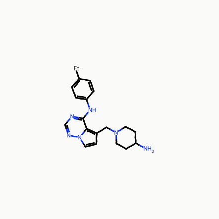 [CH2][CH]c1ccc(Nc2ncnn3ccc(CN4CCC(N)CC4)c23)cc1